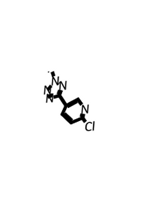 [CH2]n1nnc(-c2ccc(Cl)nc2)n1